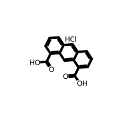 Cl.O=C(O)c1cccc2cc3cccc(C(=O)O)c3cc12